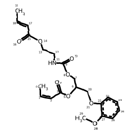 C/C=C\C(=O)OC(COC(=O)NCCOC(=O)/C=C/C)COc1ccccc1OC